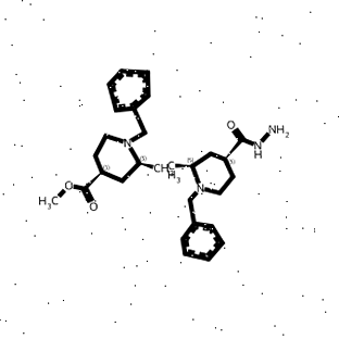 COC(=O)[C@H]1CCN(Cc2ccccc2)[C@@H](C)C1.C[C@H]1C[C@@H](C(=O)NN)CCN1Cc1ccccc1